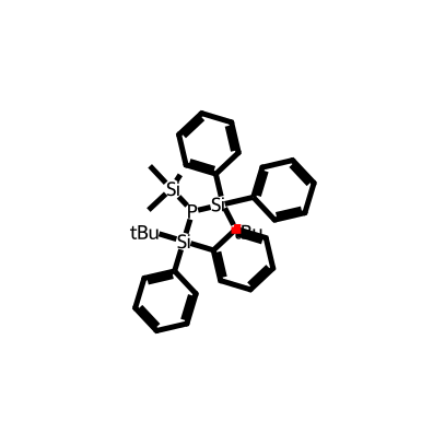 CC(C)(C)[Si](c1ccccc1)(c1ccccc1)P([Si](C)(C)C)[Si](c1ccccc1)(c1ccccc1)C(C)(C)C